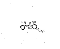 N[C@H](c1ccccc1)[C@@H](O)N[C@H]1CC[C@@H](CC(=O)O)OB1O